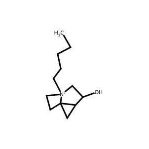 CCCCC[N+]12CCC13CC3C(O)C2